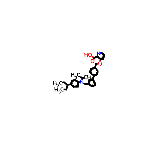 CCC(CC)c1ccc(N(Cc2cccc(-c3ccc(COc4cccnc4C(=O)O)cc3)c2)C(C)C)cc1